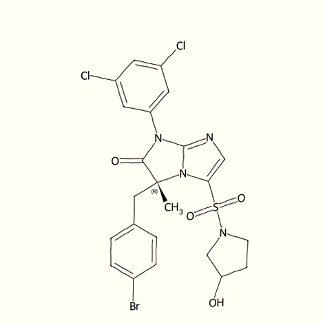 C[C@@]1(Cc2ccc(Br)cc2)C(=O)N(c2cc(Cl)cc(Cl)c2)c2ncc(S(=O)(=O)N3CCC(O)C3)n21